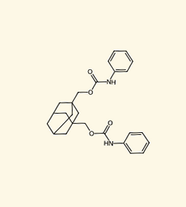 O=C(Nc1ccccc1)OCC12CC3CC(C1)CC(COC(=O)Nc1ccccc1)(C3)C2